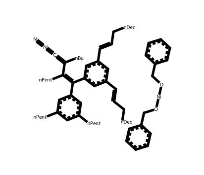 CCCCCCCCCCCC=Cc1cc(C=CCCCCCCCCCCC)cc(C(=C(CCCCC)C(=C=[N+]=[N-])CCCC)c2cc(CCCCC)cc(CCCCC)c2)c1.c1ccc(C[O][Ni][O]Cc2ccccc2)cc1